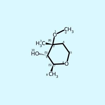 CO[C@]1(C)C[CH]O[C@@H](C)[C@@H]1O